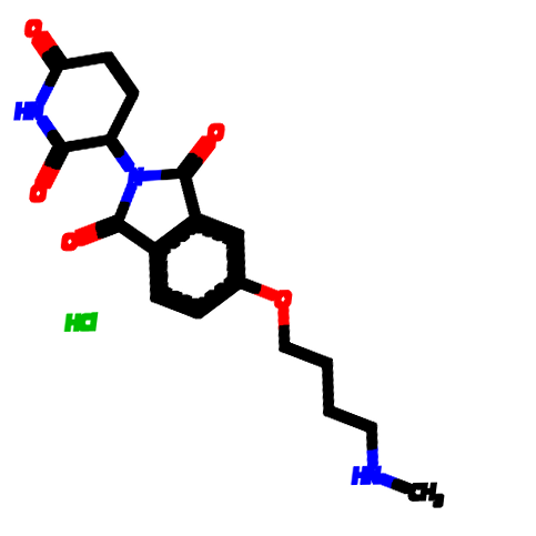 CNCCCCOc1ccc2c(c1)C(=O)N(C1CCC(=O)NC1=O)C2=O.Cl